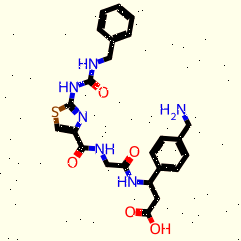 NCc1ccc(C(CC(=O)O)NC(=O)CNC(=O)c2csc(NC(=O)NCc3ccccc3)n2)cc1